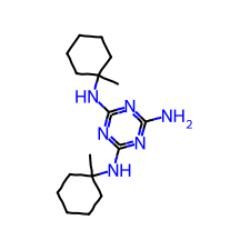 CC1(Nc2nc(N)nc(NC3(C)CCCCC3)n2)CCCCC1